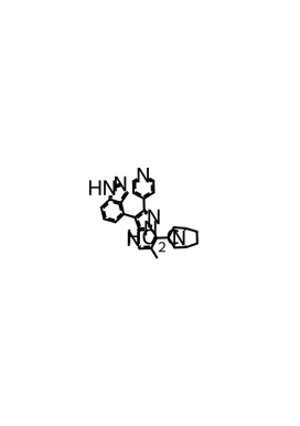 Cc1cnc2c(-c3cccc4[nH]ncc34)c(-c3ccncc3)nn2c1C1CC2CCC(C1)N2C(=O)O